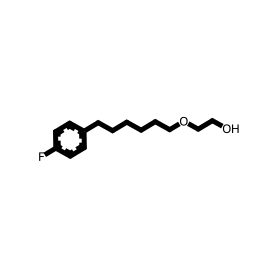 OCCOCCCCCCc1ccc(F)cc1